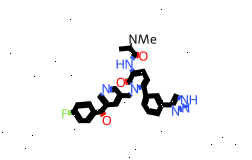 CN[C@@H](C)C(=O)Nc1ccc(-c2cccc(-c3c[nH]nn3)c2)n(Cc2cncc(C(=O)c3ccc(F)cc3)c2)c1=O